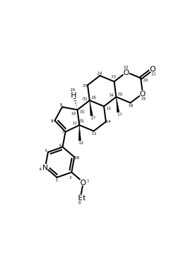 CCOc1cncc(C2=CC[C@@H]3[C@]2(C)CCC2[C@@]4(C)COC(=O)OC4CC[C@]23C)c1